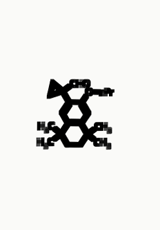 CCCOc1cc2c(cc1C1(C=O)CC1)C(C)(C)CCC2(C)C